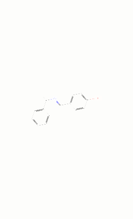 CC(/N=C/c1ccc(O)cc1)c1ccccc1